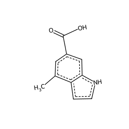 Cc1cc(C(=O)O)cc2[nH]ccc12